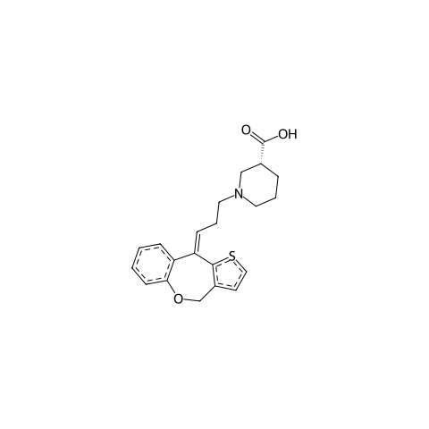 O=C(O)[C@@H]1CCCN(CCC=C2c3ccccc3OCc3ccsc32)C1